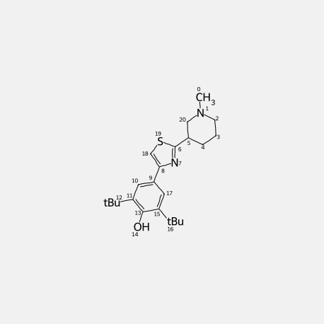 CN1CCCC(c2nc(-c3cc(C(C)(C)C)c(O)c(C(C)(C)C)c3)cs2)C1